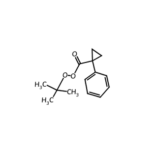 CC(C)(C)OOC(=O)C1(c2ccccc2)CC1